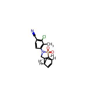 Cc1c(N2C[C@H]3[C@H]([C@@H]4C=C[C@H]3C4)S2(=O)=O)ccc(C#N)c1Cl